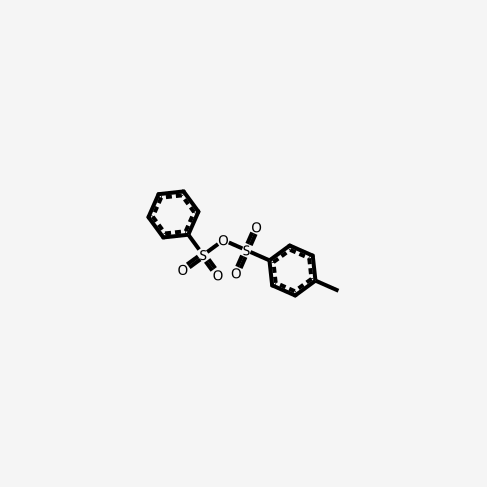 Cc1ccc(S(=O)(=O)OS(=O)(=O)c2ccccc2)cc1